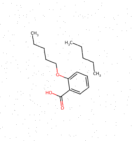 CCCCC.CCCCCOc1ccccc1C(=O)O